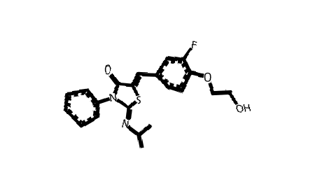 CC(C)/N=C1\S/C(=C\c2ccc(OCCO)c(F)c2)C(=O)N1c1ccccc1